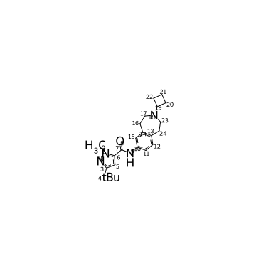 Cn1nc(C(C)(C)C)cc1C(=O)Nc1ccc2c(c1)CCN(C1CCC1)CC2